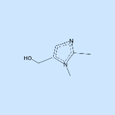 Cc1ncc(CO)n1C